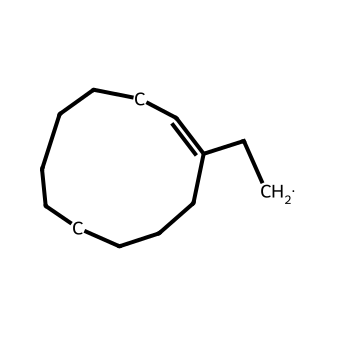 [CH2]CC1=CCCCCCCCCC1